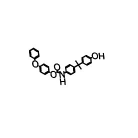 CC(C)(c1ccc(O)cc1)c1ccc(NC(=O)Oc2ccc(Oc3ccccc3)cc2)cc1